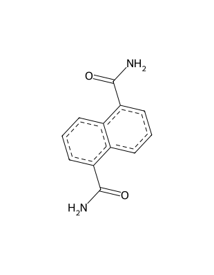 NC(=O)c1cccc2c(C(N)=O)cccc12